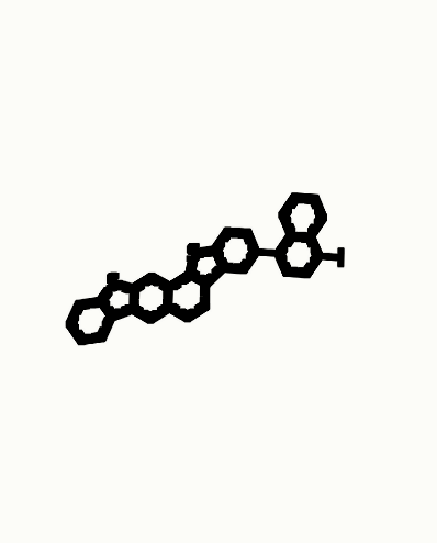 Ic1ccc(-c2ccc3sc4c5cc6sc7ccccc7c6cc5ccc4c3c2)c2ccccc12